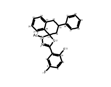 CC(=O)N1N=C(c2cc(F)ccc2F)SC12CC(c1ccccc1)Cc1ccccc12